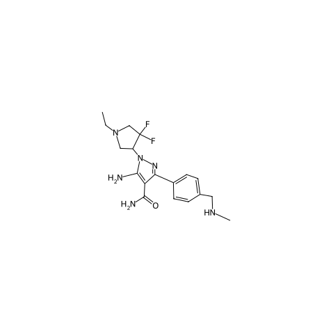 CCN1CC(n2nc(-c3ccc(CNC)cc3)c(C(N)=O)c2N)C(F)(F)C1